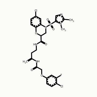 C=C(CCNC(=O)C1CN(S(=O)(=O)c2cnc(C)n2C)c2cc(Cl)ccc2O1)NC(=O)COc1ccc(Cl)c(F)c1